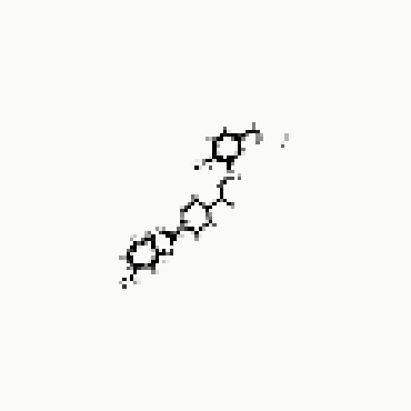 CC(COc1cc(CC(=O)O)ccc1Cl)C1CCN(c2nc3ccc(Cl)cc3s2)CC1